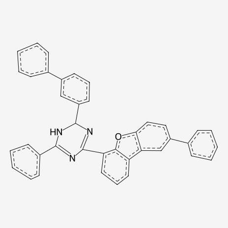 c1ccc(C2=NC(c3cccc4c3oc3ccc(-c5ccccc5)cc34)=NC(c3cccc(-c4ccccc4)c3)N2)cc1